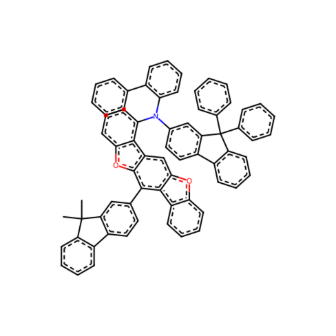 CC1(C)c2ccccc2-c2ccc(-c3c4oc5cccc(N(c6ccc7c(c6)C(c6ccccc6)(c6ccccc6)c6ccccc6-7)c6ccccc6-c6ccccc6)c5c4cc4oc5ccccc5c34)cc21